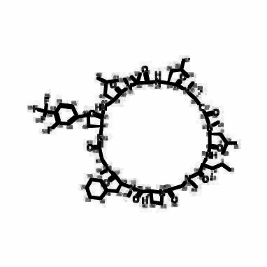 CC[C@H](C)[C@@H]1NC(=O)[C@H](CC(C)C)N(C)C(=O)C[C@@H](C)N(C)C(=O)[C@H](CC(C)C)NC(=O)C(C)(C)N(C)C(=O)[C@H](CC(C)C)NC(=O)[C@H](CCc2ccc(C(F)(F)F)c(F)c2)NC(=O)CN(C)C(=O)[C@H](CC2CCCCC2)N(C)C(=O)[C@@H]2CCN2C(=O)CN(C)C1=O